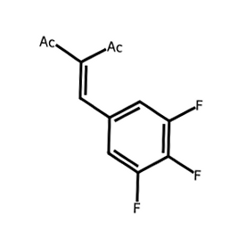 CC(=O)C(=Cc1cc(F)c(F)c(F)c1)C(C)=O